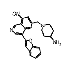 NC1CCN(Cc2cc(N=O)c3cncc(-c4cc5ccccc5o4)c3c2)CC1